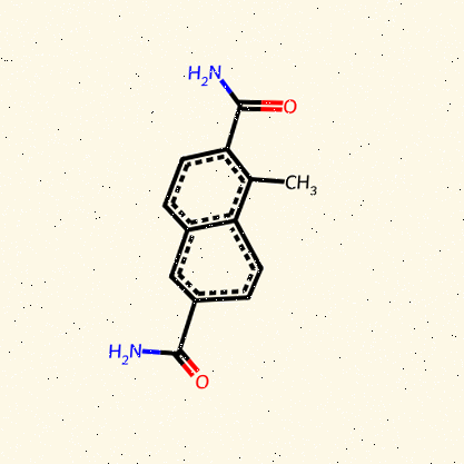 Cc1c(C(N)=O)ccc2cc(C(N)=O)ccc12